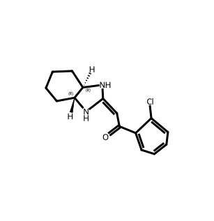 O=C(C=C1N[C@@H]2CCCC[C@H]2N1)c1ccccc1Cl